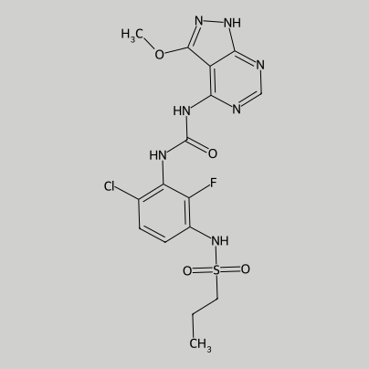 CCCS(=O)(=O)Nc1ccc(Cl)c(NC(=O)Nc2ncnc3[nH]nc(OC)c23)c1F